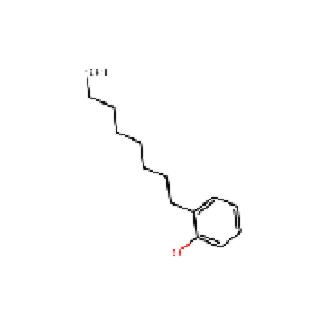 CCCCCCCCCCCCCCCc1ccccc1[O]